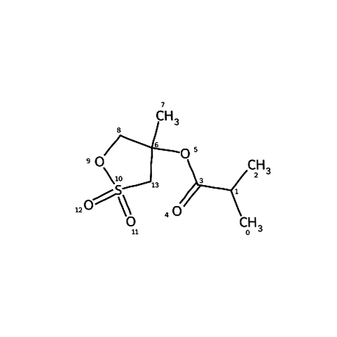 CC(C)C(=O)OC1(C)COS(=O)(=O)C1